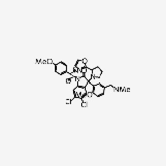 CNCc1ccc(OC)c(C2(N3CCCC3c3ncco3)C(=O)N(S(=O)(=O)c3ccc(OC)cc3)c3cc(Cl)c(Cl)cc32)c1